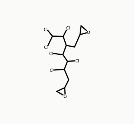 ClC(Cl)C(Cl)C(CC1CO1)C(Cl)C(Cl)C(Cl)CC1CO1